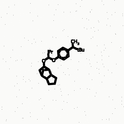 CC(C)C(Oc1ccc(C(C)C(C)(C)C)cc1)OC1CC2CC1C1CCCC21